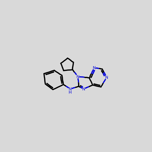 c1ccc(Nc2nc3cncnc3n2C2CCCC2)cc1